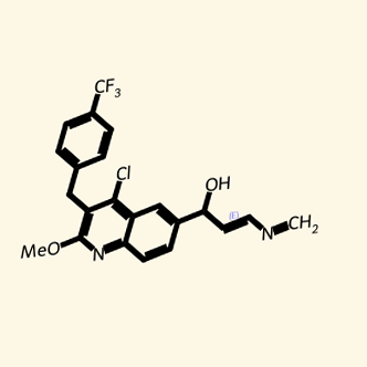 C=N/C=C/C(O)c1ccc2nc(OC)c(Cc3ccc(C(F)(F)F)cc3)c(Cl)c2c1